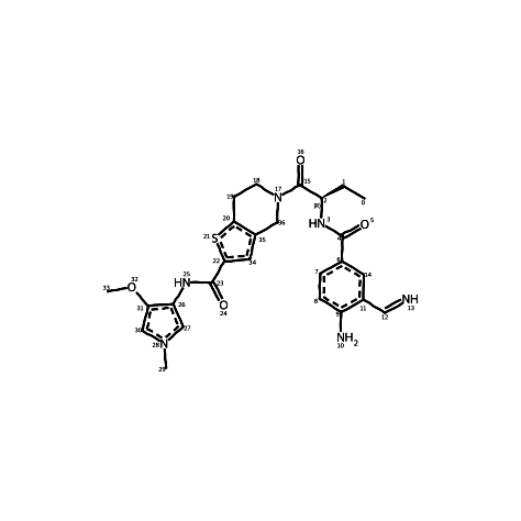 CC[C@@H](NC(=O)c1ccc(N)c(C=N)c1)C(=O)N1CCc2sc(C(=O)Nc3cn(C)cc3OC)cc2C1